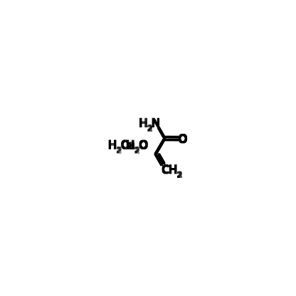 C=CC(N)=O.O.[CaH2]